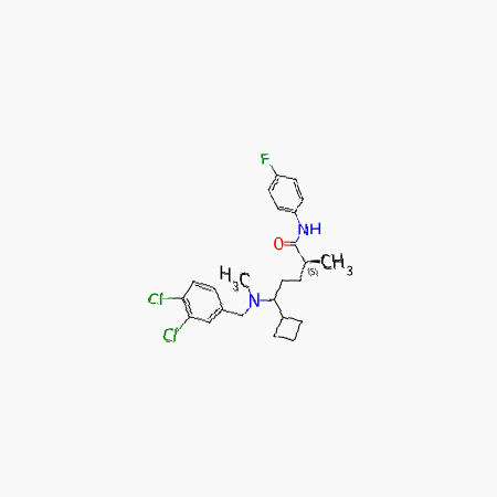 C[C@@H](CCC(C1CCC1)N(C)Cc1ccc(Cl)c(Cl)c1)C(=O)Nc1ccc(F)cc1